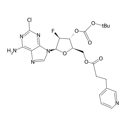 CC(C)(C)OC(=O)O[C@H]1[C@H](F)[C@H](n2cnc3c(N)nc(Cl)nc32)O[C@@H]1COC(=O)CCc1cccnc1